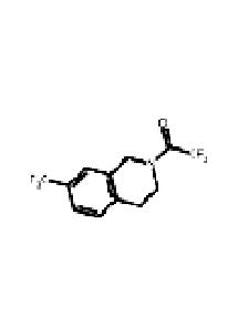 O=C(N1CCc2ccc(C(F)(F)F)cc2C1)C(F)(F)F